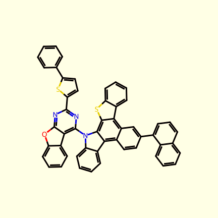 c1ccc(-c2ccc(-c3nc(-n4c5ccccc5c5c6ccc(-c7cccc8ccccc78)cc6c6c7ccccc7sc6c54)c4c(n3)oc3ccccc34)s2)cc1